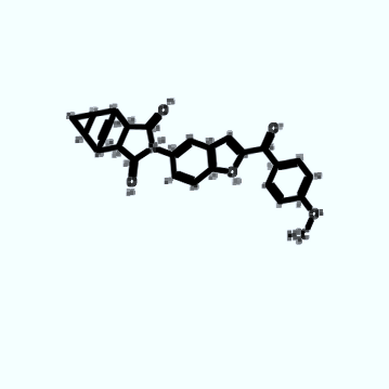 COc1ccc(C(=O)c2cc3cc(N4C(=O)C5C6C=CC(C7CC67)C5C4=O)ccc3o2)cc1